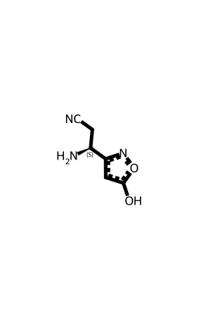 N#CC[C@H](N)c1cc(O)on1